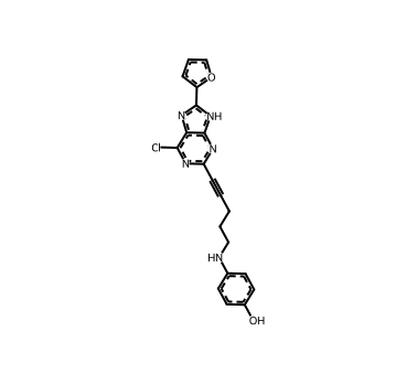 Oc1ccc(NCCCC#Cc2nc(Cl)c3nc(-c4ccco4)[nH]c3n2)cc1